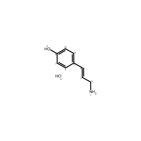 Cl.NCC=Cc1ccc(O)cc1